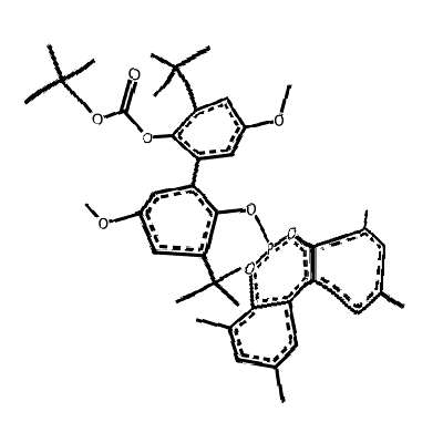 COc1cc(-c2cc(OC)cc(C(C)(C)C)c2Op2oc3c(C)cc(C)cc3c3cc(C)cc(C)c3o2)c(OC(=O)OC(C)(C)C)c(C(C)(C)C)c1